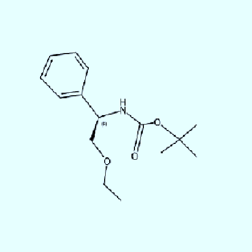 CCOC[C@H](NC(=O)OC(C)(C)C)c1ccccc1